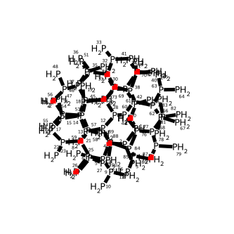 PPP(P)P(P(P(P)P)P(P)P)P(P(P(P(P)P)P(P)P)P(P(P)P)P(P)P)P(P(P(P(P(P)P)P(P)P)P(P(P)P)P(P)P)P(P(P(P)P)P(P)P)P(P(P)P)P(P)P)P(P(P(P(P)P)P(P)P)P(P(P)P)P(P)P)P(P(P(P)P)P(P)P)P(P(P)P)P(P)P